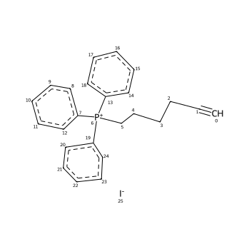 C#CCCCC[P+](c1ccccc1)(c1ccccc1)c1ccccc1.[I-]